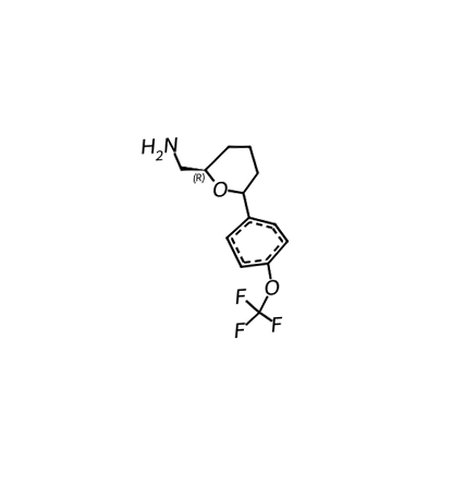 NC[C@H]1CCCC(c2ccc(OC(F)(F)F)cc2)O1